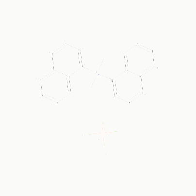 C[N+](C)(c1cccc2ccccc12)c1cccc2ccccc12.F[B-](F)(F)F